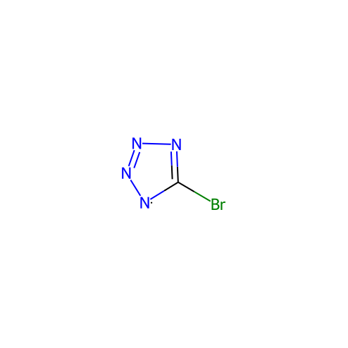 BrC1=NN=N[N]1